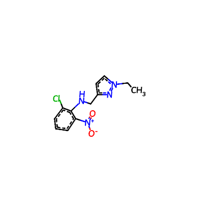 CCn1ccc(CNc2c(Cl)cccc2[N+](=O)[O-])n1